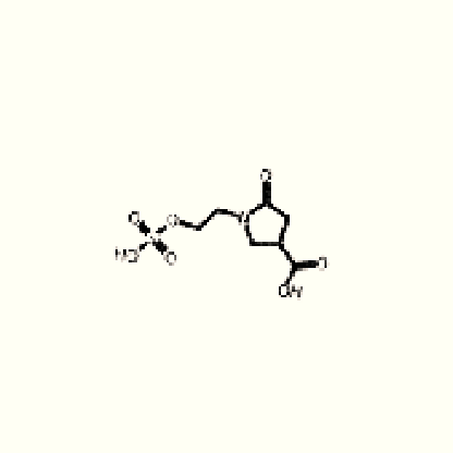 O=C(O)C1CC(=O)N(CCOS(=O)(=O)O)C1